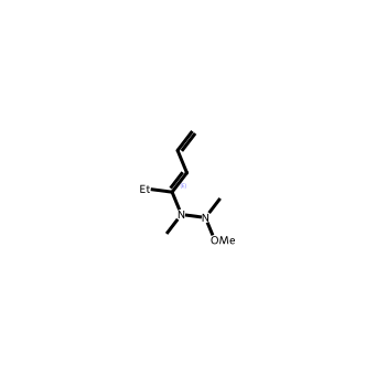 C=C/C=C(\CC)N(C)N(C)OC